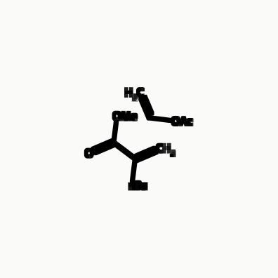 C=C(CCCC)C(=O)OC.C=COC(C)=O